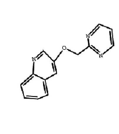 [c]1nc2ccccc2cc1OCc1ncccn1